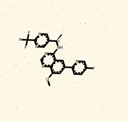 COc1cc(-c2ccc(F)cn2)cc2c(N[C@H](C)c3cnc(C(F)(F)F)nc3)ncnc12